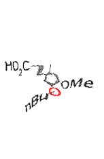 CCCCOc1cc(/C=C/C(=O)O)c(C)cc1OC